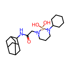 O=C(CN1CCCN(C2CCCCC2)S1(O)O)NC1C2CC3CC(C2)CC1C3